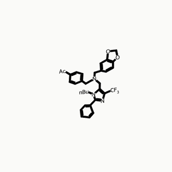 CCCCn1c(-c2ccccc2)nc(C(F)(F)F)c1CN(Cc1ccc(C(C)=O)cc1)Cc1ccc2c(c1)OCO2